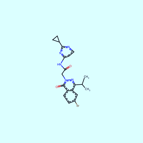 CC(C)c1nn(CC(=O)Nc2ccnc(C3CC3)n2)c(=O)c2ccc(Br)cc12